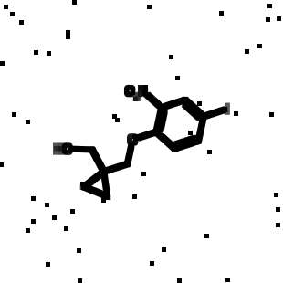 O=[N+]([O-])c1cc(I)ccc1OCC1(CO)CC1